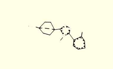 CCCCCC12CCC(c3nnc(-c4ccccc4Cl)n3C)(CC1)CC2